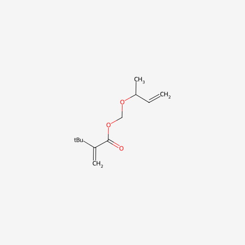 C=CC(C)OCOC(=O)C(=C)C(C)(C)C